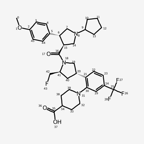 COc1ccc([C@@H]2CN(C3CCCC3)C[C@H]2C(=O)N2C[C@H](c3ccc(C(F)(F)F)cc3N3CCC(C(=O)O)CC3)C[C@H]2CF)cc1